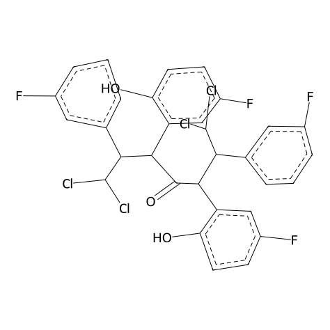 O=C(C(c1cc(F)ccc1O)C(c1cccc(F)c1)C(Cl)Cl)C(c1cc(F)ccc1O)C(c1cccc(F)c1)C(Cl)Cl